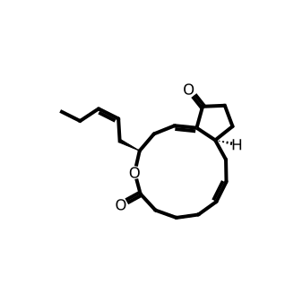 CC/C=C\C[C@H]1C/C=C2/C(=O)CC[C@H]2C/C=C\CCCC(=O)O1